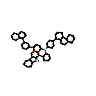 c1cc(-c2ccc(N(c3ccc(-c4cccc5c4ccc4ccccc45)cc3)c3ccccc3-c3cccc4c3oc3ccccc34)cc2)cc(-c2cccc3ccccc23)c1